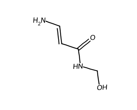 N/C=C/C(=O)NCO